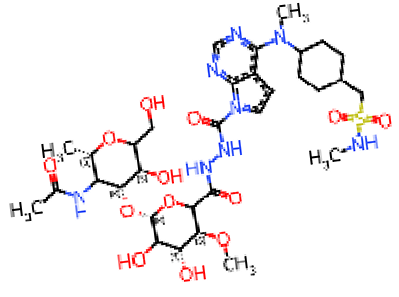 CNS(=O)(=O)CC1CCC(N(C)c2ncnc3c2ccn3C(=O)NNC(=O)C2O[C@@H](O[C@@H]3C(NC(C)=O)[C@H](C)OC(CO)[C@H]3O)C(O)[C@@H](O)[C@@H]2OC)CC1